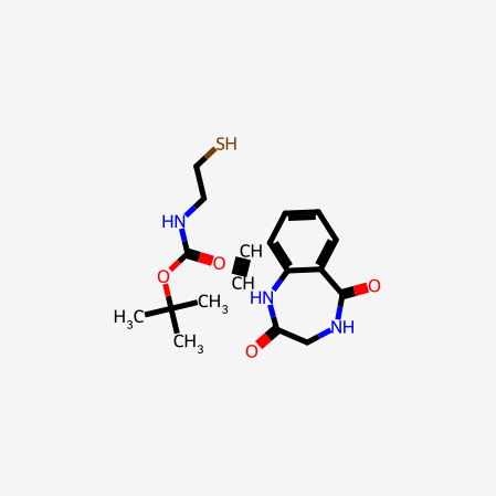 C#C.CC(C)(C)OC(=O)NCCS.O=C1CNC(=O)c2ccccc2N1